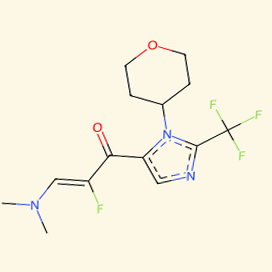 CN(C)C=C(F)C(=O)c1cnc(C(F)(F)F)n1C1CCOCC1